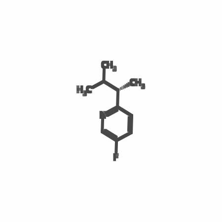 CC(C)[C@H](C)c1ccc(F)cn1